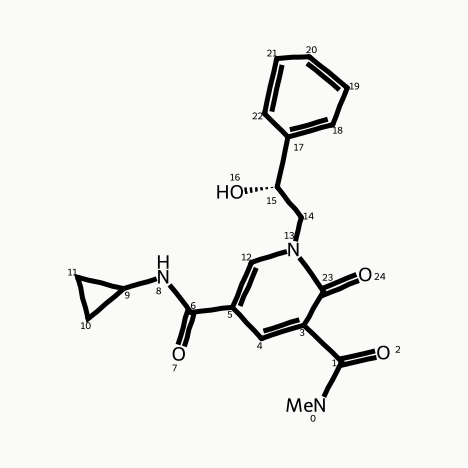 CNC(=O)c1cc(C(=O)NC2CC2)cn(C[C@H](O)c2ccccc2)c1=O